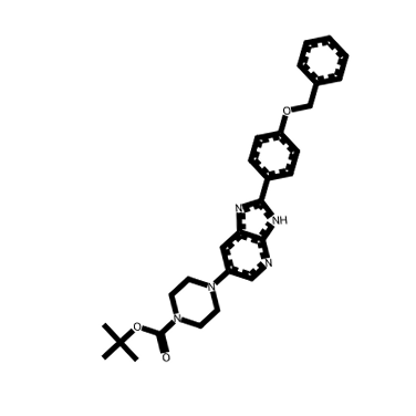 CC(C)(C)OC(=O)N1CCN(c2cnc3[nH]c(-c4ccc(OCc5ccccc5)cc4)nc3c2)CC1